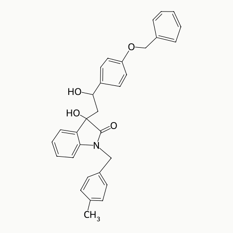 Cc1ccc(CN2C(=O)C(O)(CC(O)c3ccc(OCc4ccccc4)cc3)c3ccccc32)cc1